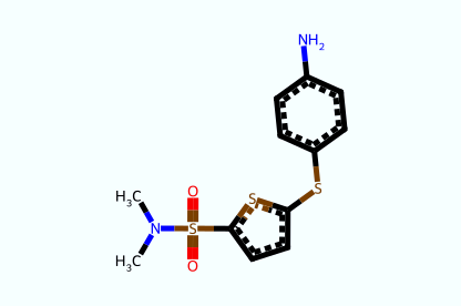 CN(C)S(=O)(=O)c1ccc(Sc2ccc(N)cc2)s1